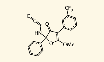 COC1=C(c2cccc(C(F)(F)F)c2)C(=O)C(NC=C=O)(c2ccccc2)O1